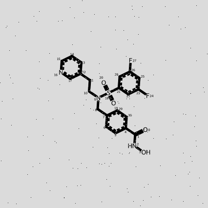 O=C(NO)c1ccc(CN(CCc2cccnc2)S(=O)(=O)c2cc(F)cc(F)c2)cc1